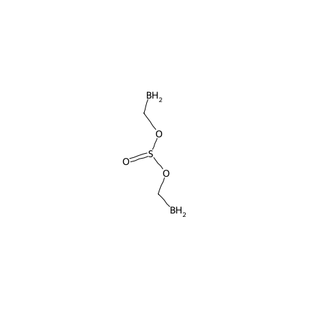 BCOS(=O)OCB